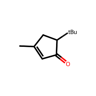 CC1=CC(=O)C(C(C)(C)C)C1